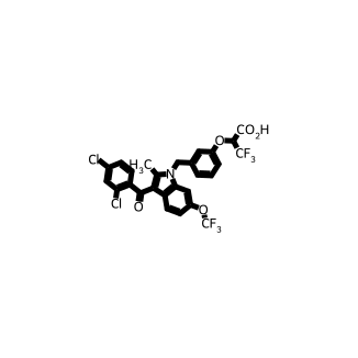 Cc1c(C(=O)c2ccc(Cl)cc2Cl)c2ccc(OC(F)(F)F)cc2n1Cc1cccc(OC(C(=O)O)C(F)(F)F)c1